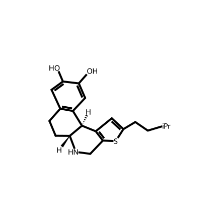 CC(C)CCc1cc2c(s1)CN[C@@H]1CCc3cc(O)c(O)cc3[C@@H]21